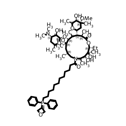 CC[C@H]1OC(=O)[C@H](C)[C@@H](C2C[C@@](C)(OC)[C@@H](O)[C@H](C)O2)[C@H](C)[C@@H](O[C@@H]2O[C@H](C)C[C@H](N(C)C)[C@H]2O)[C@](C)(O)C[C@@H](C)CN(C(=O)CCCCCCCCCCC[PH](c2ccccc2)(c2ccccc2)C2COC2)[C@H](C)[C@@H](O)[C@]1(C)O